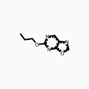 CCCOc1ncc2ncoc2n1